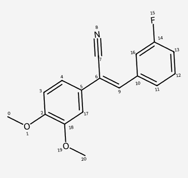 COc1ccc(C(C#N)=Cc2cccc(F)c2)cc1OC